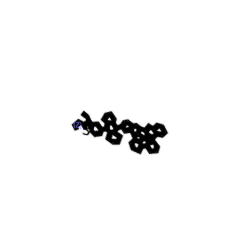 C=Cc1c(/C=C\C)sc2ccc(-c3c4ccccc4c(-c4ccc5cc6c(cc5c4)C4(c5ccccc5-c5ccccc54)c4cc5ccccc5cc4-6)c4ccccc34)cc12